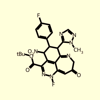 Cn1ncnc1C1C2=NCC(=O)C=C3C2=C(C(C(=O)OC(C)(C)C)=NN3F)C([N+](=O)[O-])C1c1ccc(F)cc1